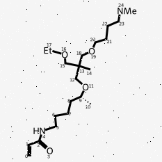 C=CC(=O)NCCCC[C@@H](C)OCC(C)(COCC)COCCCCNC